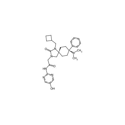 CN(C)[C@]1(c2ccccc2)CC[C@@]2(CC1)CN(CC(=O)Nc1ncc(O)cn1)C(=O)N2CC1CCC1